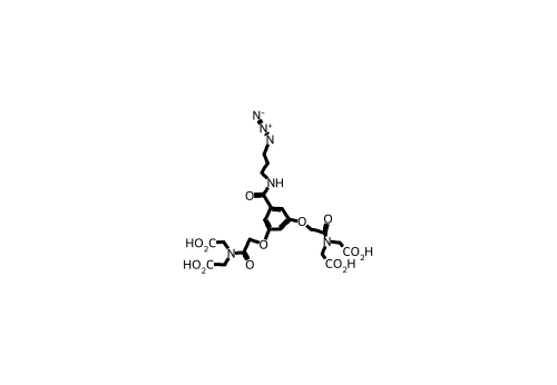 [N-]=[N+]=NCCCNC(=O)c1cc(OCC(=O)N(CC(=O)O)CC(=O)O)cc(OCC(=O)N(CC(=O)O)CC(=O)O)c1